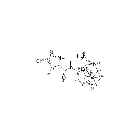 Cc1c(C(=O)Nc2ccc(F)c([C@@]34N=C(N)OCC35CC54)c2)noc1Cl